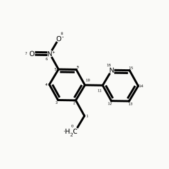 [CH2]Cc1ccc([N+](=O)[O-])cc1-c1ccccn1